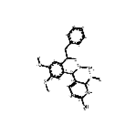 COc1cc(C(C)Cc2ccccc2)c(C(ON)C2=CN=C(O)NC2OC)cc1OC